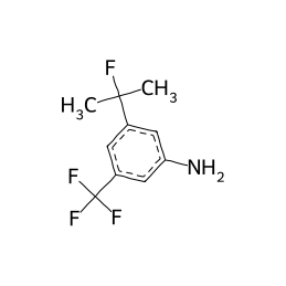 CC(C)(F)c1cc(N)cc(C(F)(F)F)c1